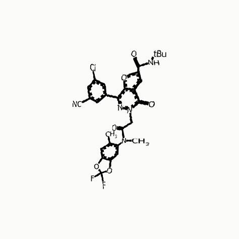 Cc1cc2c(cc1N(C)C(=O)Cn1nc(-c3cc(Cl)cc(C#N)c3)c3oc(C(=O)NC(C)(C)C)cc3c1=O)OC(F)(F)O2